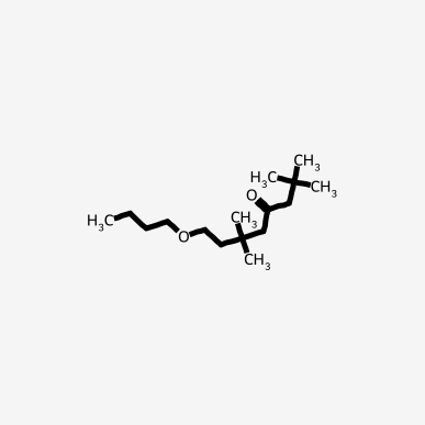 CCCCOCCC(C)(C)CC(=O)CC(C)(C)C